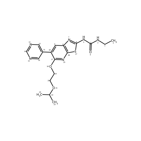 CCNC(=O)Nc1nc2cc(-c3cncnc3)c(OCCOC(C)C)nc2s1